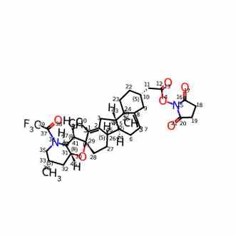 CC1=C2C[C@H]3[C@@H](CC=C4C[C@@H](CC(=O)ON5C(=O)CCC5=O)CC[C@@]43C)[C@@H]2CC[C@]12O[C@@H]1C[C@H](C)CN(C(=O)C(F)(F)F)[C@H]1[C@H]2C